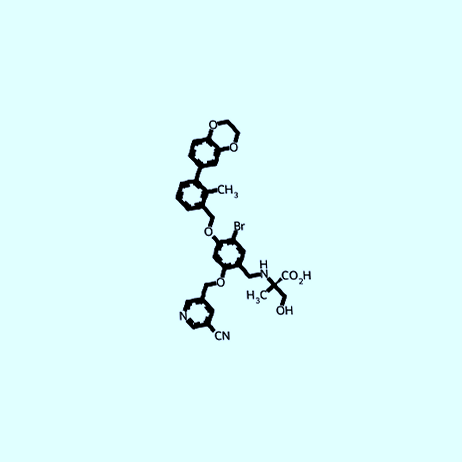 Cc1c(COc2cc(OCc3cncc(C#N)c3)c(CN[C@@](C)(CO)C(=O)O)cc2Br)cccc1-c1ccc2c(c1)OCCO2